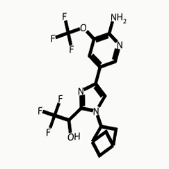 Nc1ncc(-c2cn(C3CC4CC3C4)c(C(O)C(F)(F)F)n2)cc1OC(F)(F)F